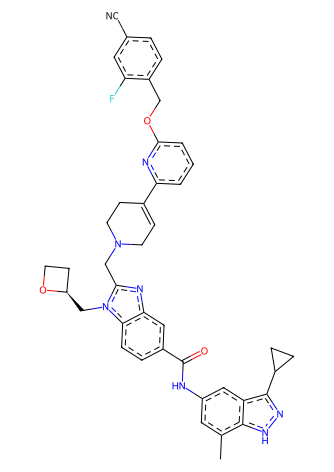 Cc1cc(NC(=O)c2ccc3c(c2)nc(CN2CC=C(c4cccc(OCc5ccc(C#N)cc5F)n4)CC2)n3C[C@@H]2CCO2)cc2c(C3CC3)n[nH]c12